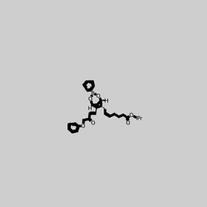 CC(C)OC(=O)CCC/C=C\C[C@@H]1[C@@H](/C=C/C(=O)COc2ccccc2)[C@H]2C[C@@H]1OB(c1ccccc1)O2